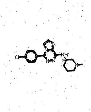 CN1CCC[C@@H](Nc2nnc(-c3ccc(Cl)cc3)n3ccnc23)C1